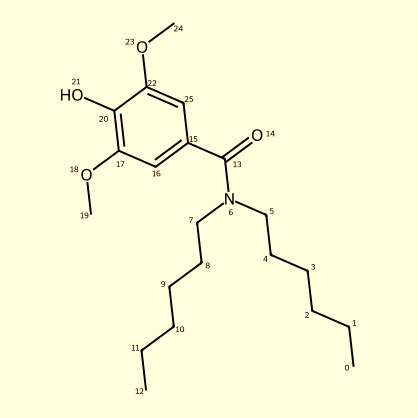 CCCCCCN(CCCCCC)C(=O)c1cc(OC)c(O)c(OC)c1